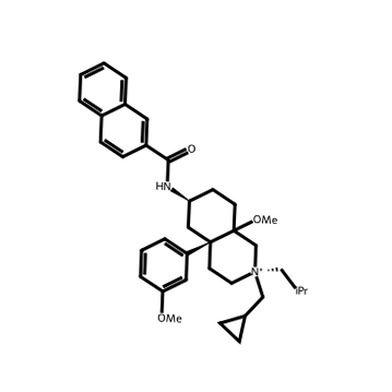 COc1cccc([C@]23CC[N@+](CC(C)C)(CC4CC4)CC2(OC)CC[C@H](NC(=O)c2ccc4ccccc4c2)C3)c1